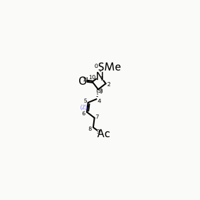 CSN1C[C@H](C/C=C\CCC(C)=O)C1=O